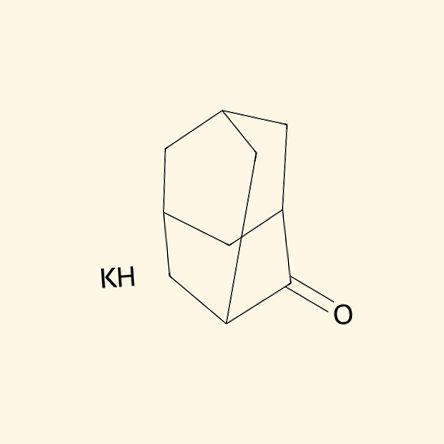 O=C1C2CC3CC(C2)CC1C3.[KH]